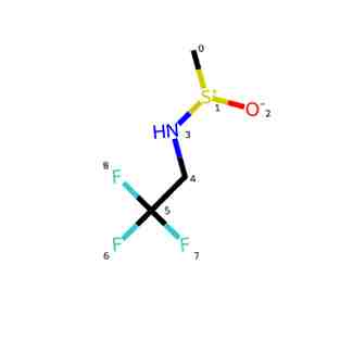 C[S+]([O-])NCC(F)(F)F